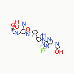 Cc1c(Nc2nc(C(F)(F)F)nc3cc(CN4CC[C@@H](O)C4)cnc23)cccc1-c1cccc(-c2nc3cc(CN4CC[C@@](C)(C(=O)O)C4)cc(C#N)c3o2)c1C